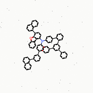 c1ccc(-c2cc(-c3ccccc3)cc(-c3ccccc3-c3ccc(N(c4ccc(-c5cccc(-c6cccc7ccccc67)c5)cc4)c4ccc(-c5cccc6ccccc56)c5oc6ccccc6c45)cc3)c2)cc1